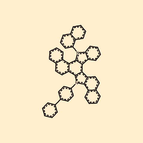 c1ccc(-c2ccc(-n3c4c5ccccc5ccc4c4c5c6ccccc6n(-c6cccc7ccccc67)c5c5c6ccccc6ccc5c43)cc2)cc1